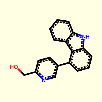 OCc1ccc(-c2cccc3[nH]c4ccccc4c23)cn1